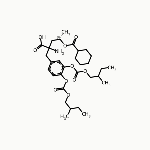 CCC(C)COC(=O)Oc1ccc(CC(N)(C[C@H](C)OC(=O)C2CCCCC2)C(=O)O)cc1OC(=O)OCC(C)CC